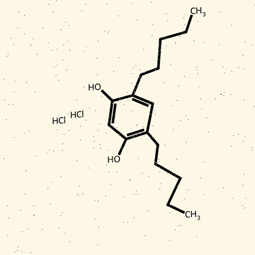 CCCCCc1cc(CCCCC)c(O)cc1O.Cl.Cl